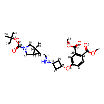 COC(=O)c1ccc(O[C@H]2C[C@H](NC[C@@H]3C4CN(C(=O)OC(C)(C)C)C[C@@H]43)C2)cc1C(=O)OC